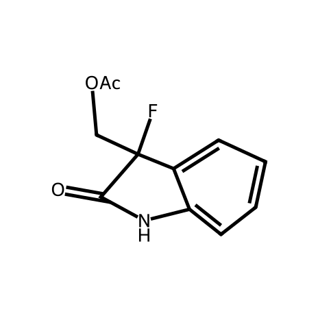 CC(=O)OCC1(F)C(=O)Nc2ccccc21